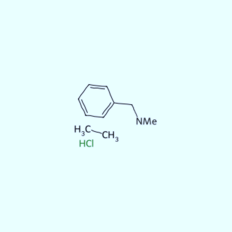 CC.CNCc1ccccc1.Cl